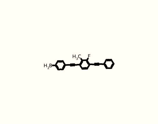 Bc1ccc(C#Cc2ccc(C#Cc3ccccc3)c(F)c2C)cc1